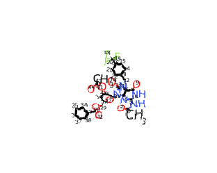 CC(=O)Nc1nc2c(c(=O)[nH]1)n(Cc1ccc(C(F)(F)F)cc1)c(=O)n2[C@H]1O[C@H](COC(=O)c2ccccc2)C[C@H]1OC(C)=O